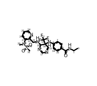 CCNC(=O)c1ccc(NC2(C(F)(F)F)C=NC=NC2NCc2ncccc2N(C)S(C)(=O)=O)cc1